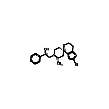 CCc1cc2c(s1)CCO[C@@]21CCN(C[C@H](O)c2ccccc2)[C@@H](C)C1